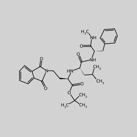 CNC(=O)[C@H](Cc1ccccc1)NC(=O)[C@H](CC(C)C)N[C@H](CCN1C(=O)c2ccccc2C1=O)C(=O)OC(C)(C)C